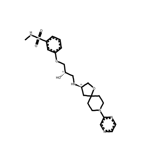 CNS(=O)(=O)c1cccc(OC[C@@H](O)CN[C@H]2COC3(CCN(c4cnccn4)CC3)C2)c1